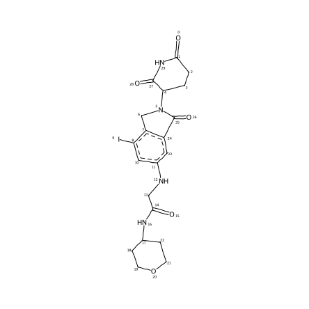 O=C1CCC(N2Cc3c(I)cc(NCC(=O)NC4CCOCC4)cc3C2=O)C(=O)N1